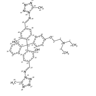 CCN(CC)CCOc1ccc(C(c2ccccc2)(c2ccc(C=Nn3nnnc3C)cc2O)c2ccc(C=Nn3nnnc3C)cc2O)cc1